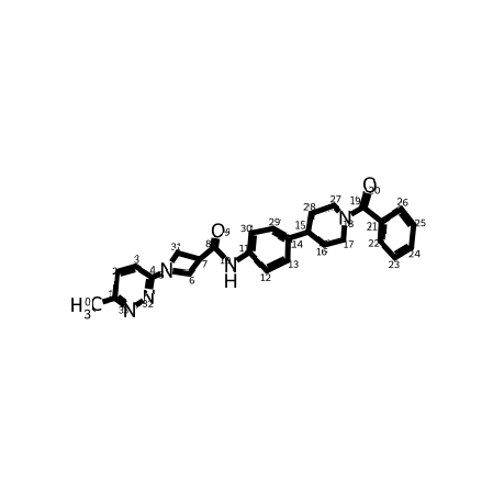 Cc1ccc(N2CC(C(=O)Nc3ccc(C4CCN(C(=O)c5ccccc5)CC4)cc3)C2)nn1